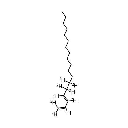 [2H]C([2H])=C([2H])C([2H])=C([2H])C([2H])([2H])C([2H])([2H])CCCCCCCCCCCC